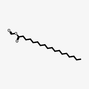 CCCCCCCCCCCCCCCCCC(=O)O[C]=O